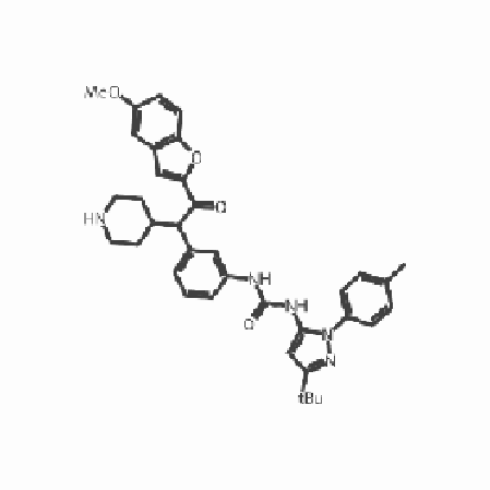 COc1ccc2oc(C(=O)C(c3cccc(NC(=O)Nc4cc(C(C)(C)C)nn4-c4ccc(C)cc4)c3)C3CCNCC3)cc2c1